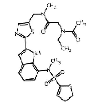 CCN(CC(=O)N(C)Cc1cnc(-c2cc3cccc(N(C)S(=O)(=O)C4=CCCS4)c3[nH]2)s1)C(C)=O